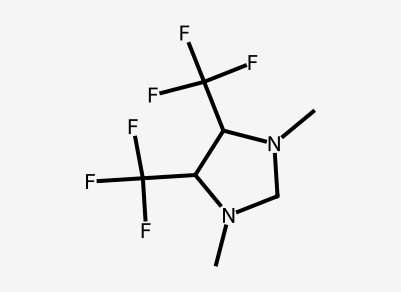 CN1CN(C)C(C(F)(F)F)C1C(F)(F)F